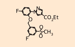 CCOC(=O)c1cnn(-c2ccc(F)cc2OCc2cc(F)cc(S(C)(=O)=O)c2)c1